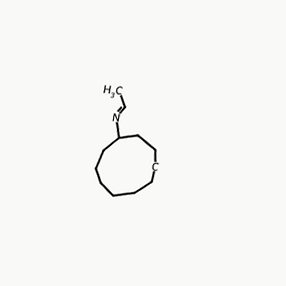 C/C=N/C1CCCCCCCCC1